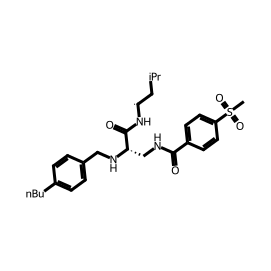 CCCCc1ccc(CN[C@@H](CNC(=O)c2ccc(S(C)(=O)=O)cc2)C(=O)N[CH]CC(C)C)cc1